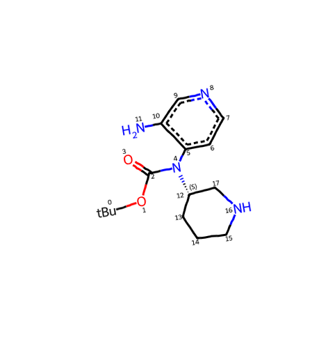 CC(C)(C)OC(=O)N(c1ccncc1N)[C@H]1CCCNC1